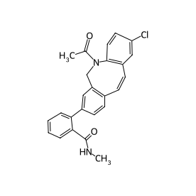 CNC(=O)c1ccccc1-c1ccc2c(c1)CN(C(C)=O)c1ccc(Cl)cc1/C=C\2